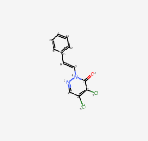 O=c1c(Cl)c(Cl)cnn1C=Cc1ccccc1